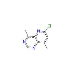 Cc1cc(Cl)nc2c(C)ncnc12